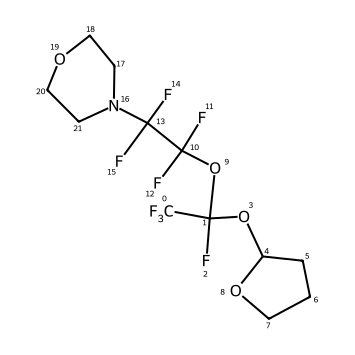 FC(F)(F)C(F)(OC1CCCO1)OC(F)(F)C(F)(F)N1CCOCC1